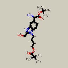 CC(C)(C)OC(=O)C(N)c1ccc2c(c1)nc(CO)n2CCCCOC(=O)C(C)(C)C